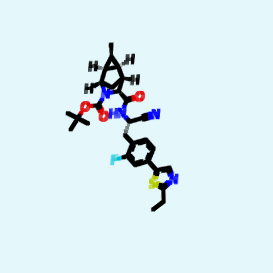 CCc1ncc(-c2ccc(C[C@@H](C#N)NC(=O)[C@@H]3[C@@H]4C[C@@H]([C@H]5[C@@H](C)[C@@H]45)N3C(=O)OC(C)(C)C)c(F)c2)s1